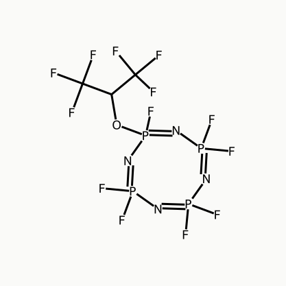 FC(F)(F)C(OP1(F)=NP(F)(F)=NP(F)(F)=NP(F)(F)=N1)C(F)(F)F